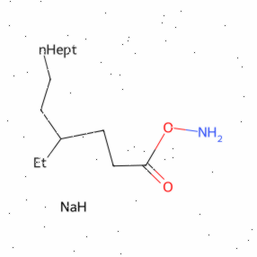 CCCCCCCCCC(CC)CCC(=O)ON.[NaH]